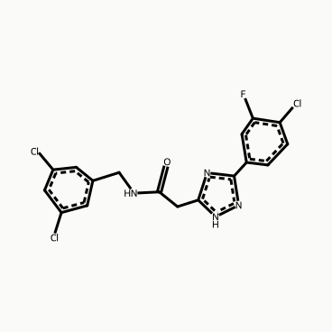 O=C(Cc1nc(-c2ccc(Cl)c(F)c2)n[nH]1)NCc1cc(Cl)cc(Cl)c1